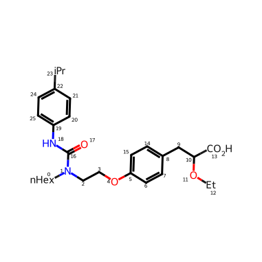 CCCCCCN(CCOc1ccc(CC(OCC)C(=O)O)cc1)C(=O)Nc1ccc(C(C)C)cc1